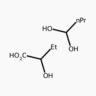 CCC(O)C(=O)O.CCCC(O)O